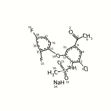 CC(=O)c1cc(Cl)c(NS(C)(=O)=O)c(Oc2ccc(F)cc2F)c1.[NaH]